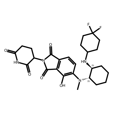 CN(c1ccc2c(c1O)C(=O)N(C1CCC(=O)NC1=O)C2=O)[C@H]1CCCC[C@@H]1NC1CCC(F)(F)CC1